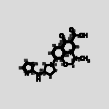 CN1COc2c(N3CC[C@@H](Nc4nccs4)C3)ccc3c(=O)c(C(=O)O)cn1c23